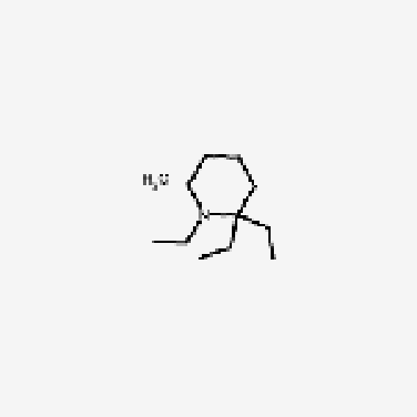 CCN1CCCCC1(CC)CC.O